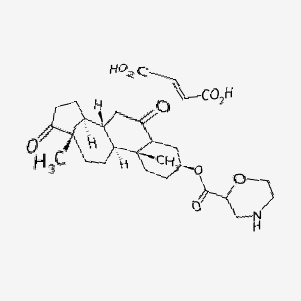 C[C@]12CC[C@H](OC(=O)C3CNCCO3)CC1C(=O)C[C@@H]1[C@@H]2CC[C@]2(C)C(=O)CC[C@@H]12.O=C(O)/C=C/C(=O)O